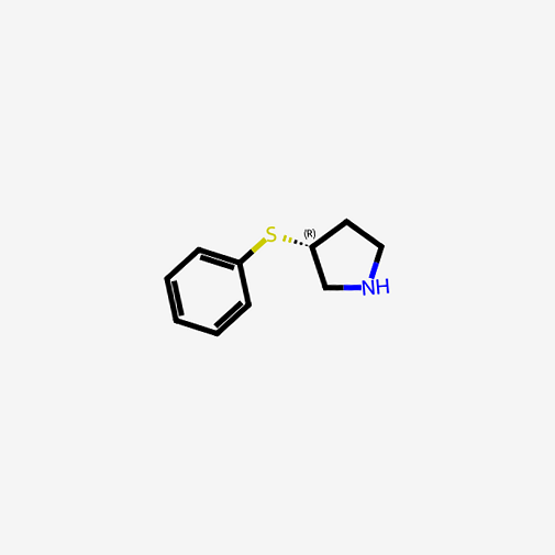 c1ccc(S[C@@H]2CCNC2)cc1